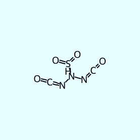 O=C=NN(N=C=O)[SH](=O)=O